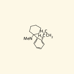 C=C.CNC1(c2ccccc2C)CCCCC1